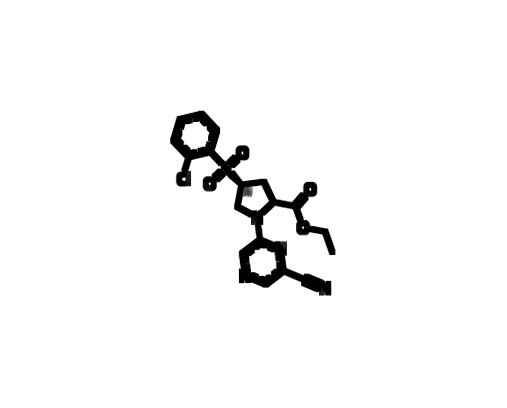 CCOC(=O)C1C[C@H](S(=O)(=O)c2ccccc2Cl)CN1c1cncc(C#N)n1